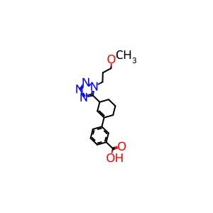 COCCCn1nnnc1C1C=C(c2cccc(C(=O)O)c2)CCC1